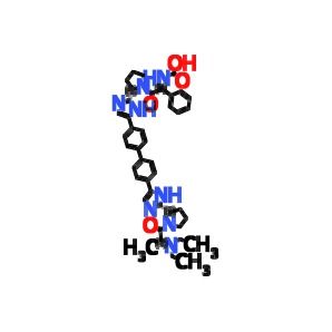 CCN(CC)[C@H](C)C(=O)N1CCC[C@H]1c1ncc(-c2ccc(-c3ccc(-c4cnc([C@@H]5CCCN5C(=O)[C@H](NC(=O)O)c5ccccc5)[nH]4)cc3)cc2)[nH]1